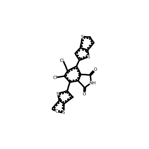 O=C1NC(=O)c2c1c(-c1cc3sccc3s1)c(Cl)c(Cl)c2-c1cc2sccc2s1